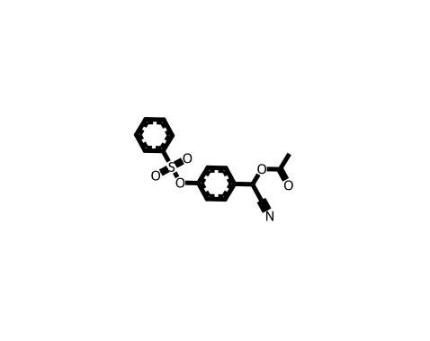 CC(=O)OC(C#N)c1ccc(OS(=O)(=O)c2ccccc2)cc1